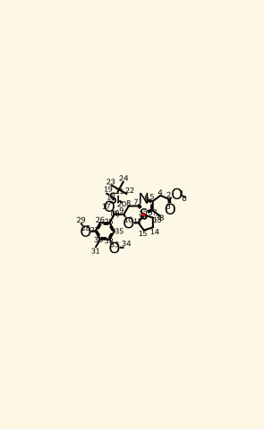 COC(=O)Cc1nc(CC(OC2CCCC2)[C@H](O[Si](C)(C)C(C)(C)C)c2cc(OC)c(C)c(OC)c2)sc1C